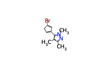 Cc1nn(C)c(C2=CCC(Br)=C2)c1C